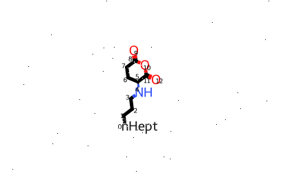 CCCCCCCCCCN[C@H]1CCC(=O)OC1=O